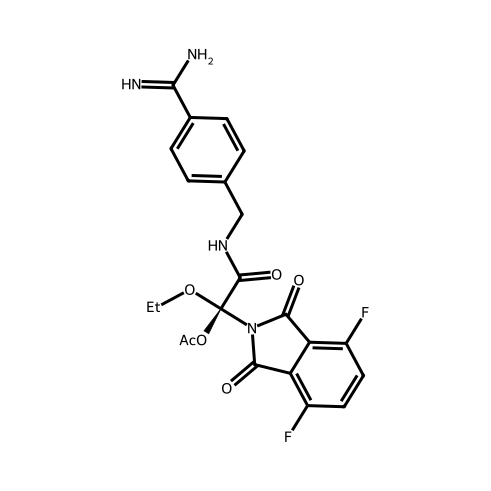 CCO[C@](OC(C)=O)(C(=O)NCc1ccc(C(=N)N)cc1)N1C(=O)c2c(F)ccc(F)c2C1=O